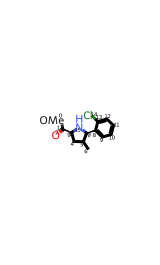 COC(=O)[C@@H]1CC(C)[C@H](c2ccccc2Cl)N1